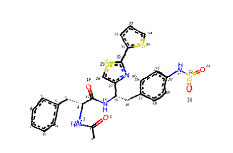 CC(=O)N[C@H](Cc1ccccc1)C(=O)N[C@@H](Cc1ccc(N[SH](=O)=O)cc1)c1csc(-c2cccs2)n1